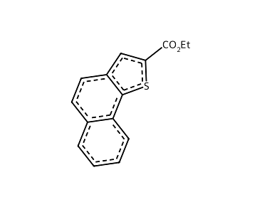 CCOC(=O)c1cc2ccc3ccccc3c2s1